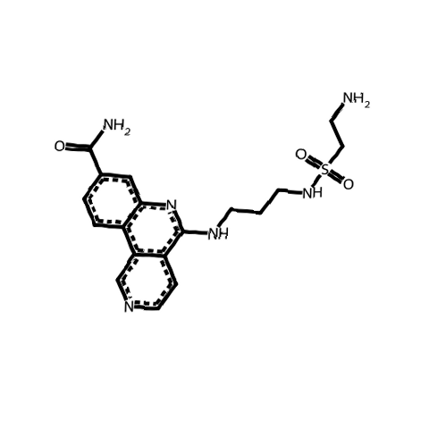 NCCS(=O)(=O)NCCCNc1nc2cc(C(N)=O)ccc2c2cnccc12